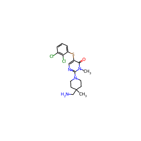 Cn1c(N2CCC(C)(CN)CC2)ncc(Sc2cccc(Cl)c2Cl)c1=O